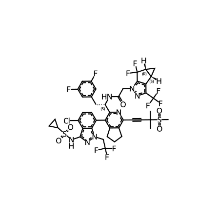 CC(C)(C#Cc1nc([C@H](Cc2cc(F)cc(F)c2)NC(=O)Cn2nc(C(F)(F)F)c3c2C(F)(F)[C@@H]2C[C@H]32)c(-c2ccc(Cl)c3c(NS(=O)(=O)C4CC4)nn(CC(F)(F)F)c23)c2c1CCC2)S(C)(=O)=O